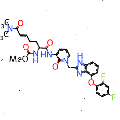 COC(=O)NC(CC/C=C/C(=O)N(C)C)C(=O)Nc1cccn(Cc2nc3c(Oc4ccc(F)cc4F)cccc3[nH]2)c1=O